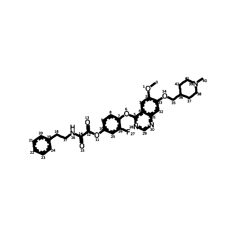 COc1cc2c(Oc3ccc(OC(=O)C(=O)NCCc4ccccc4)cc3F)ncnc2cc1OCC1CCN(C)CC1